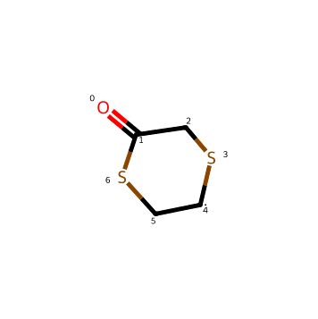 O=C1CS[CH]CS1